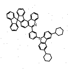 c1cc(-c2nc3ccccc3c3c4c(ccc23)C2(c3ccccc3-c3ccccc32)c2ccccc2-4)cc(-n2c3ccc(C4CCCCC4)cc3c3cc(C4CCCCC4)ccc32)c1